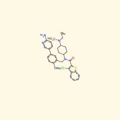 COc1ccc(-c2ccc(N)nc2)cc1CN(C(=O)c1sc2ccccc2c1Cl)C1CCC(N(CC(C)(C)C)C(=O)O)CC1